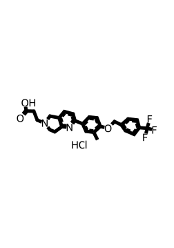 Cc1cc(-c2ccc3c(n2)CCN(CCC(=O)O)C3)ccc1OCc1ccc(C(F)(F)F)cc1.Cl